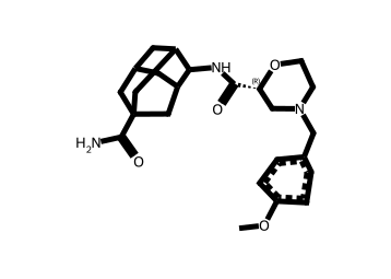 COc1ccc(CN2CCO[C@@H](C(=O)NC3C4CC5CC3CC(C(N)=O)(C5)C4)C2)cc1